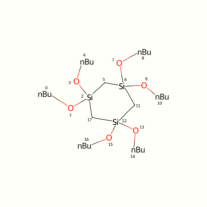 CCCCO[Si]1(OCCCC)C[Si](OCCCC)(OCCCC)C[Si](OCCCC)(OCCCC)C1